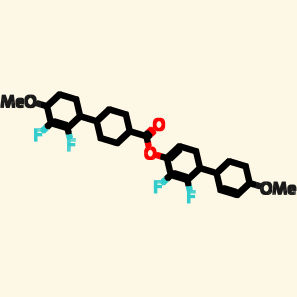 COC1C=CC(C2CC=C(OC(=O)C3CCC(C4CCC(OC)C(F)=C4F)CC3)C(F)=C2F)CC1